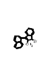 CC1=C(c2cccc3ccccc23)c2ccccc2[CH]1[Zr]